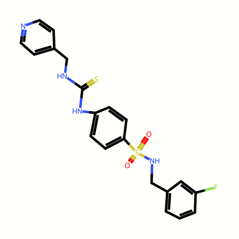 O=S(=O)(NCc1cccc(F)c1)c1ccc(NC(=S)NCc2ccncc2)cc1